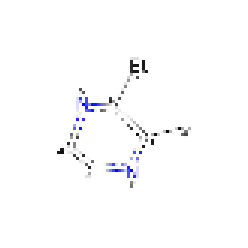 [CH2]c1nccnc1CC